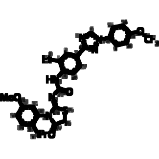 CCc1cc(-c2ncn(-c3ccc(OC(F)(F)F)cc3)n2)ccc1NC(=O)N=C1SCC(=O)N1c1cc(OC)ccc1C(C)C